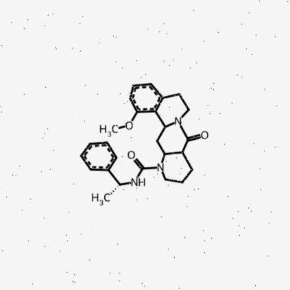 COc1cccc2c1C1CC3C(CCCN3C(=O)N[C@H](C)c3ccccc3)C(=O)N1CC2